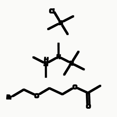 CC(=O)OCCOCBr.CN([SiH](C)C)[Si](C)(C)C.C[Si](C)(C)Cl